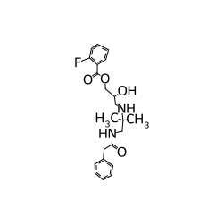 CC(C)(CNC(=O)Cc1ccccc1)NCC(O)COC(=O)c1ccccc1F